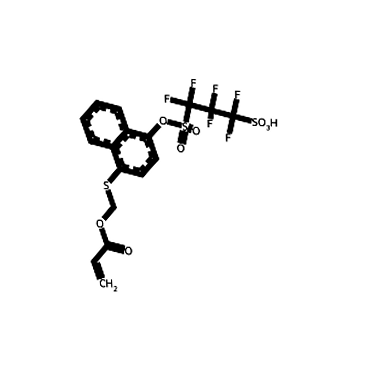 C=CC(=O)OCSc1ccc(OS(=O)(=O)C(F)(F)C(F)(F)C(F)(F)S(=O)(=O)O)c2ccccc12